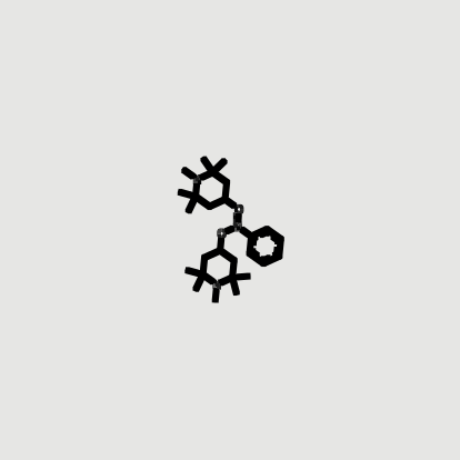 CN1C(C)(C)CC(O[SiH](OC2CC(C)(C)N(C)C(C)(C)C2)c2ccccc2)CC1(C)C